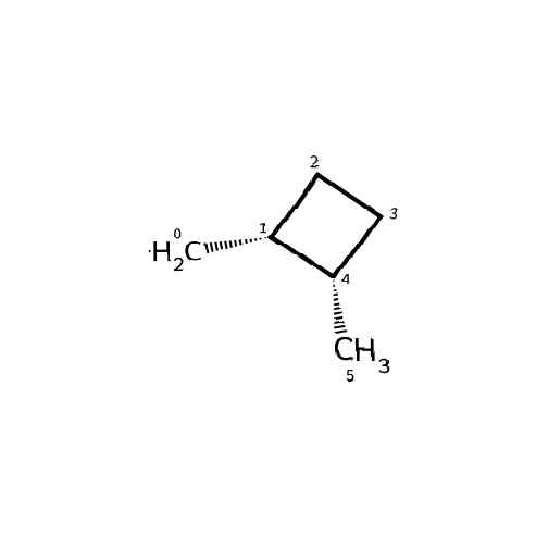 [CH2][C@@H]1CC[C@@H]1C